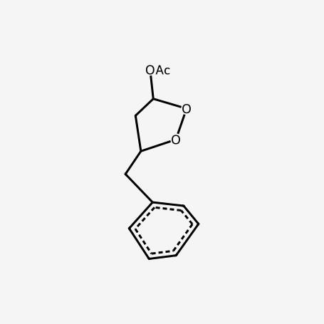 CC(=O)OC1CC(Cc2ccccc2)OO1